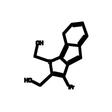 CC(C)c1c(CO)n(CO)c2c1=CC1=CC=CCC=21